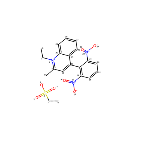 CCS(=O)(=O)[O-].CC[n+]1c(C)cc(-c2c([N+](=O)[O-])cccc2[N+](=O)[O-])c2ccccc21